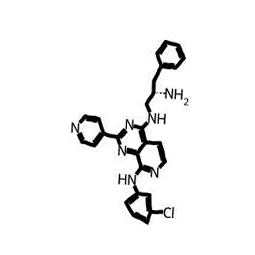 N[C@H](CNc1nc(-c2ccncc2)nc2c(Nc3cccc(Cl)c3)nccc12)Cc1ccccc1